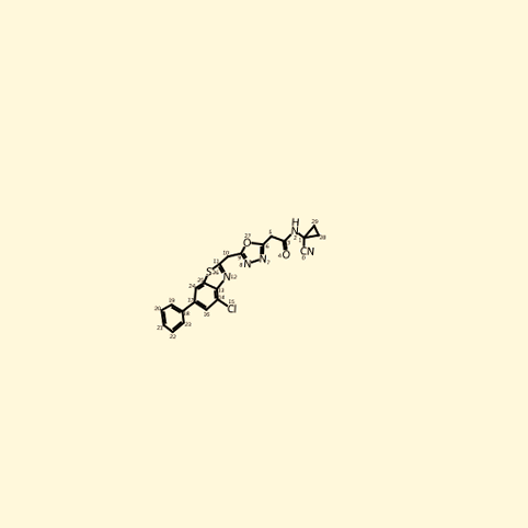 N#CC1(NC(=O)Cc2nnc(Cc3nc4c(Cl)cc(-c5ccccc5)cc4s3)o2)CC1